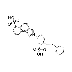 O=S(=O)(O)c1cc(-n2nc3ccc4c(S(=O)(=O)O)cccc4c3n2)ccc1C=Cc1ccccc1